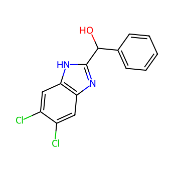 OC(c1ccccc1)c1nc2cc(Cl)c(Cl)cc2[nH]1